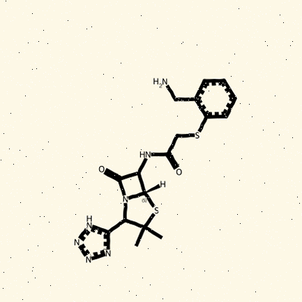 CC1(C)S[C@H]2C(NC(=O)CSc3ccccc3CN)C(=O)N2C1c1nnn[nH]1